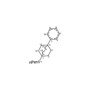 CCCCCC12CCC(c3cc[c]cc3)(CC1)CC2